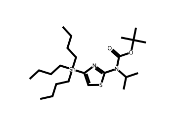 CCC[CH2][Sn]([CH2]CCC)([CH2]CCC)[c]1csc(N(C(=O)OC(C)(C)C)C(C)C)n1